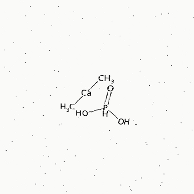 O=[PH](O)O.[CH3][Ca][CH3]